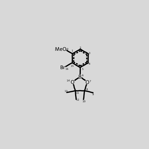 COc1cccc(B2OC(C)(C)C(C)(C)O2)c1Br